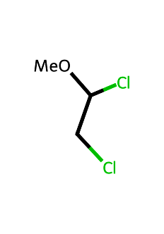 COC(Cl)CCl